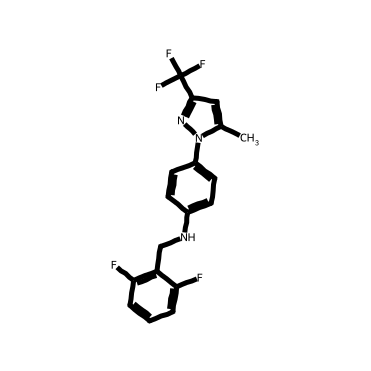 Cc1cc(C(F)(F)F)nn1-c1ccc(NCc2c(F)cccc2F)cc1